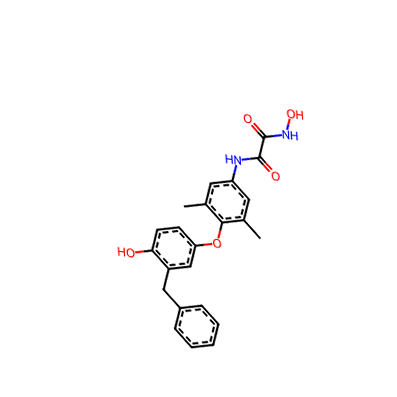 Cc1cc(NC(=O)C(=O)NO)cc(C)c1Oc1ccc(O)c(Cc2ccccc2)c1